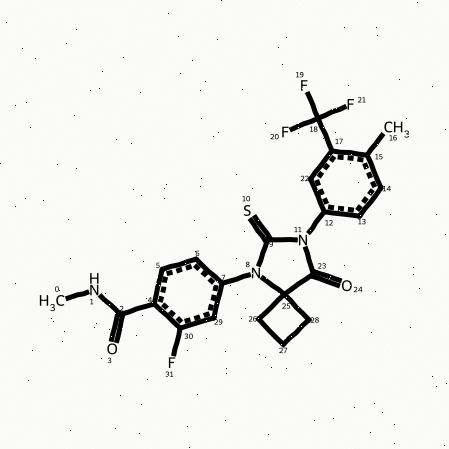 CNC(=O)c1ccc(N2C(=S)N(c3ccc(C)c(C(F)(F)F)c3)C(=O)C23CCC3)cc1F